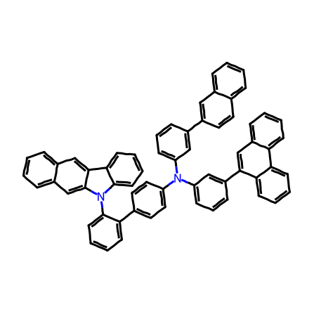 c1cc(-c2ccc3ccccc3c2)cc(N(c2ccc(-c3ccccc3-n3c4ccccc4c4cc5ccccc5cc43)cc2)c2cccc(-c3cc4ccccc4c4ccccc34)c2)c1